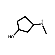 CNC1CCC(O)C1